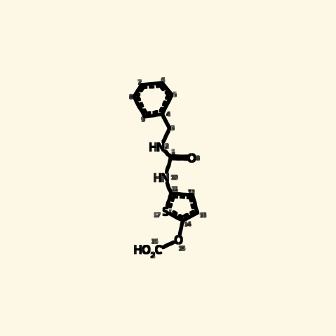 O=C(NCc1ccccc1)Nc1ccc(OC(=O)O)s1